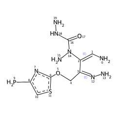 N/C=C(\C(COc1nc(P)cs1)=N/N)N(N)C(=O)NN